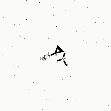 Br.CCCC1C=C1.CN(C)C